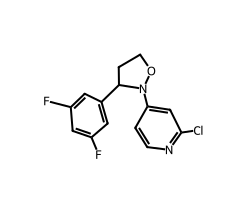 Fc1cc(F)cc(C2CCON2c2ccnc(Cl)c2)c1